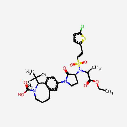 CCOC(=O)C(C)N([C@H]1CCN(c2ccc3c(c2)CCCN(C(=O)O)C3C(C)(C)C)C1=O)S(=O)(=O)/C=C/c1ccc(Cl)s1